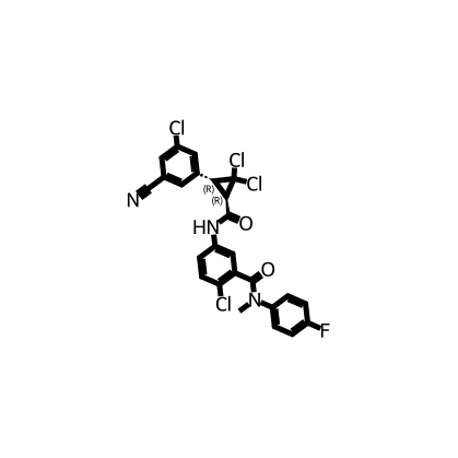 CN(C(=O)c1cc(NC(=O)[C@H]2[C@H](c3cc(Cl)cc(C#N)c3)C2(Cl)Cl)ccc1Cl)c1ccc(F)cc1